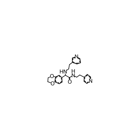 O=C(NCCc1ccncc1)C(NCCc1cccnc1)c1ccc2c(c1)OCCO2